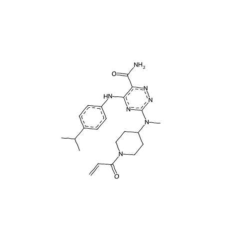 C=CC(=O)N1CCC(N(C)c2nnc(C(N)=O)c(Nc3ccc(C(C)C)cc3)n2)CC1